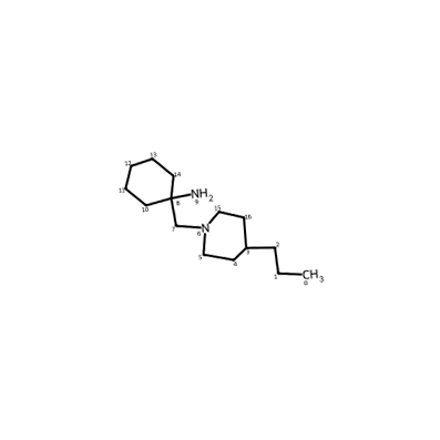 CCCC1CCN(CC2(N)CCCCC2)CC1